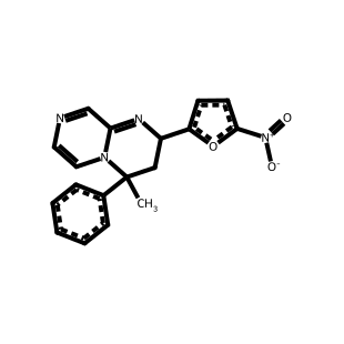 CC1(c2ccccc2)CC(c2ccc([N+](=O)[O-])o2)N=C2C=NC=CN21